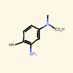 CCCc1ccc(N(C)C(=O)O)cc1N